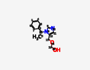 C[C@H](c1ccccc1)n1cncc1COCO